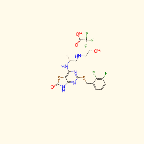 C[C@H](CNCCO)Nc1nc(SCc2cccc(F)c2F)nc2[nH]c(=O)sc12.O=C(O)C(F)(F)F